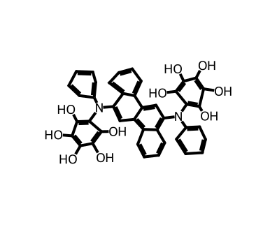 Oc1c(O)c(O)c(N(c2ccccc2)c2cc3c4ccccc4c(N(c4ccccc4)c4c(O)c(O)c(O)c(O)c4O)cc3c3ccccc23)c(O)c1O